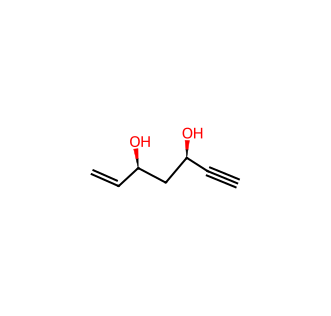 C#C[C@H](O)C[C@H](O)C=C